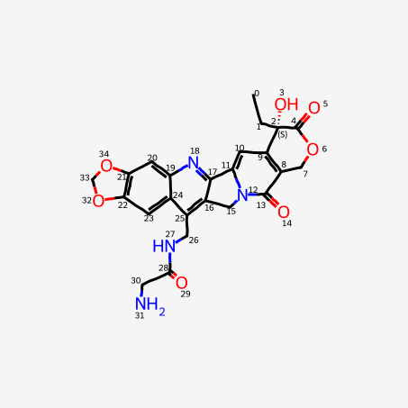 CC[C@@]1(O)C(=O)OCc2c1cc1n(c2=O)Cc2c-1nc1cc3c(cc1c2CNC(=O)CN)OCO3